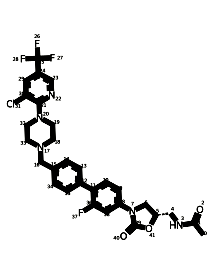 CC(=O)NC[C@H]1CN(c2ccc(-c3ccc(CN4CCN(c5ncc(C(F)(F)F)cc5Cl)CC4)cc3)c(F)c2)C(=O)O1